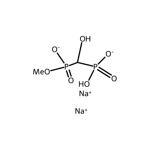 COP(=O)([O-])C(O)P(=O)([O-])O.[Na+].[Na+]